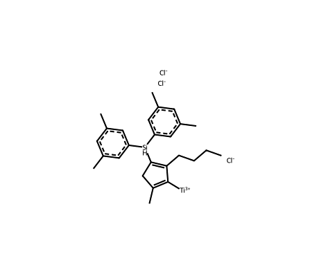 CCCCC1=C([SiH](c2cc(C)cc(C)c2)c2cc(C)cc(C)c2)CC(C)=[C]1[Ti+3].[Cl-].[Cl-].[Cl-]